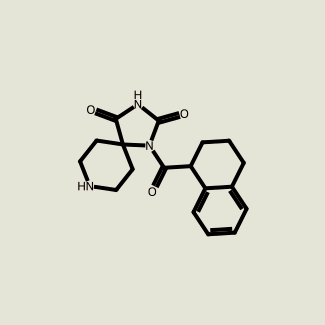 O=C1NC(=O)C2(CCNCC2)N1C(=O)C1CCCc2ccccc21